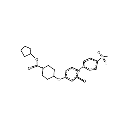 CS(=O)(=O)c1ccc(-n2ccc(OC3CCN(C(=O)OC4CCCC4)CC3)cc2=O)cc1